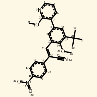 COc1ncccc1-c1cc(/C=C(\C#N)c2ccc([N+](=O)[O-])cc2)c(OC)c(C(C)(C)C)c1